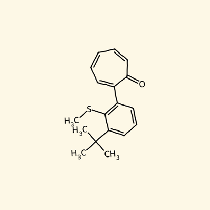 CSc1c(-c2cccccc2=O)cccc1C(C)(C)C